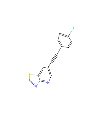 Fc1ccc(C#Cc2cnc3ncsc3c2)cc1